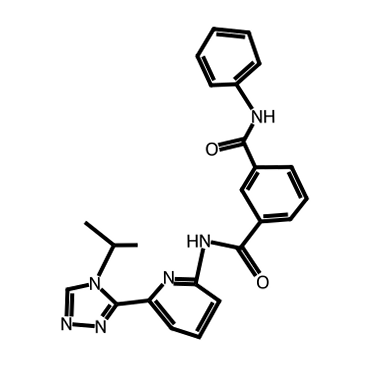 CC(C)n1cnnc1-c1cccc(NC(=O)c2cccc(C(=O)Nc3ccccc3)c2)n1